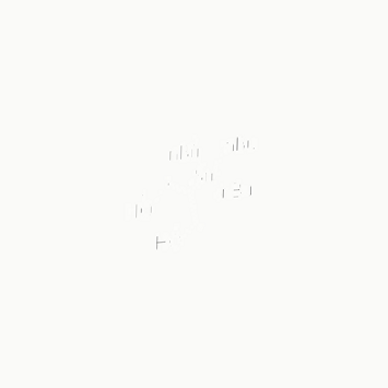 CCC[CH2][Sn]([CH2]CCC)([CH2]CCC)[CH](CO)CO